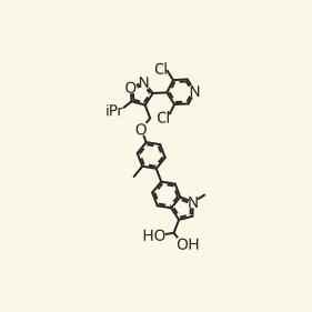 Cc1cc(OCc2c(-c3c(Cl)cncc3Cl)noc2C(C)C)ccc1-c1ccc2c(C(O)O)cn(C)c2c1